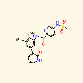 COc1c(NC(=O)c2ccc(NS(C)(=O)=O)cn2)cc(-c2ccc[nH]c2=O)cc1C(C)(C)C